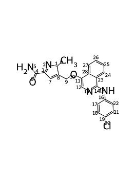 CC1N=C(C(N)=O)C=C1COc1cnc(Nc2ccc(Cl)cc2)c2ccccc12